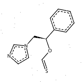 S=CO[C@@H](Cn1ccnc1)c1ccccc1